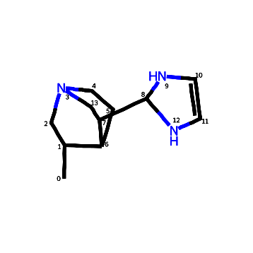 CC1CN2CCC1C(C1NC=CN1)C2